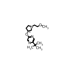 COCCN1CC[C@H](Oc2cnc(C(C)(C)C)cn2)C1